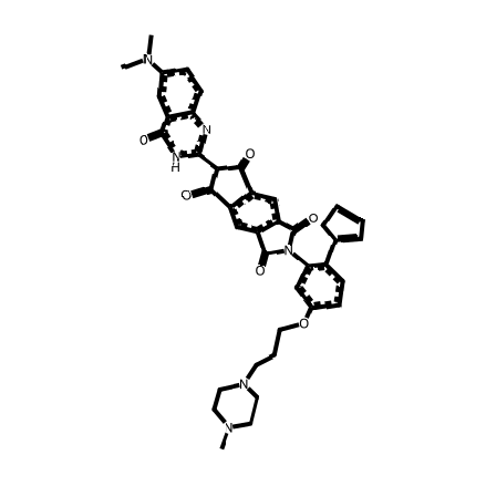 CN1CCN(CCCOc2ccc(C3=CC=CC3)c(N3C(=O)c4cc5c(cc4C3=O)C(=O)C(c3nc4ccc(N(C)C)cc4c(=O)[nH]3)C5=O)c2)CC1